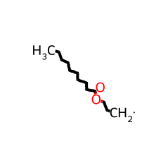 [CH2]CCOC(=O)CCCCCCCCC